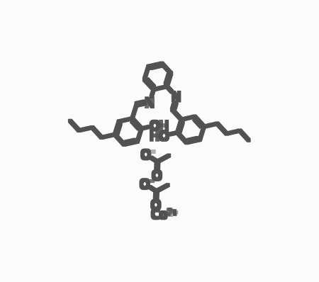 CC(=O)[O-].CC(=O)[O-].CCCCc1ccc(O)c(C=Nc2ccccc2N=Cc2cc(CCCC)ccc2O)c1.[Co+2]